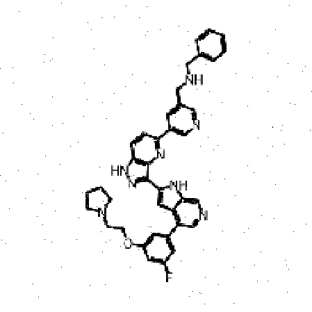 Fc1cc(OCCN2CCCC2)cc(-c2cncc3[nH]c(-c4n[nH]c5ccc(-c6cncc(CNCc7ccccc7)c6)nc45)cc23)c1